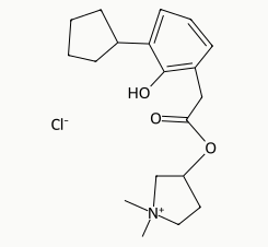 C[N+]1(C)CCC(OC(=O)Cc2cccc(C3CCCC3)c2O)C1.[Cl-]